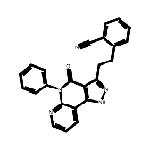 N#Cc1ccccc1CCc1n[nH]c2c1c(=O)n(-c1ccccc1)c1ncccc21